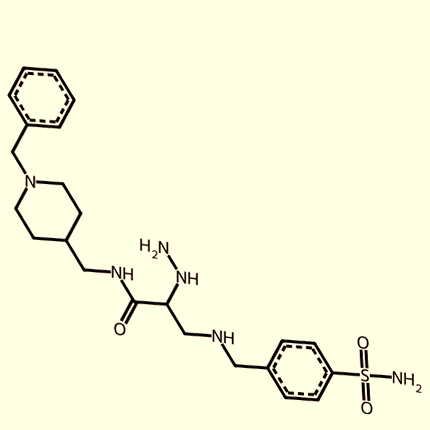 NNC(CNCc1ccc(S(N)(=O)=O)cc1)C(=O)NCC1CCN(Cc2ccccc2)CC1